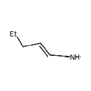 CCC/C=C/[NH]